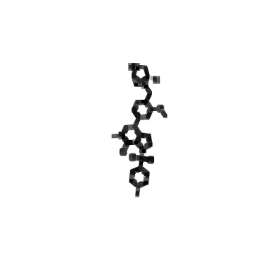 COc1cc(-c2cn(C)c(=O)c3c2ccn3S(=O)(=O)c2ccc(C)cc2)ccc1CN1CC2C[C@H]1CN2